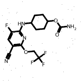 N#Cc1cc(F)c(NC2CCC(OC(N)=O)CC2)nc1OCC(F)(F)F